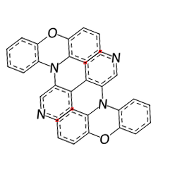 c1ccc2c(c1)Oc1ccccc1N2c1cnccc1-c1ccncc1N1c2ccccc2Oc2ccccc21